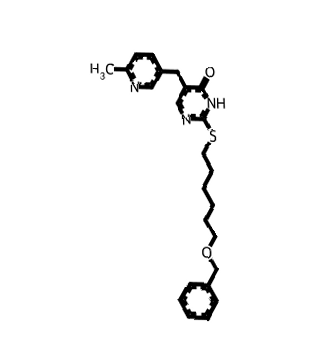 Cc1ccc(Cc2cnc(SCCCCCCOCc3ccccc3)[nH]c2=O)cn1